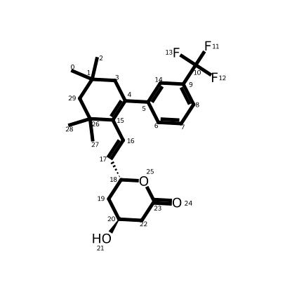 CC1(C)CC(c2cccc(C(F)(F)F)c2)=C(C=C[C@H]2C[C@H](O)CC(=O)O2)C(C)(C)C1